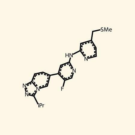 CSCc1ccnc(Nc2cc(-c3ccc4nnc(C(C)C)n4c3)c(F)cn2)c1